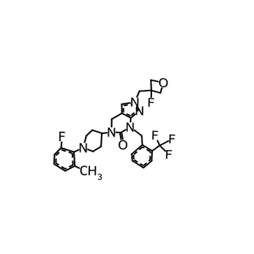 Cc1cccc(F)c1N1CCC(N2Cc3cn(CC4(F)COC4)nc3N(Cc3ccccc3C(F)(F)F)C2=O)CC1